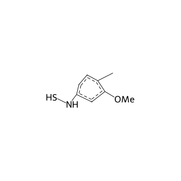 COc1cc(NS)ccc1C